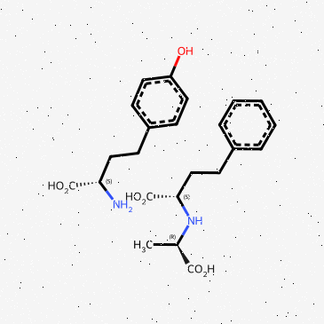 C[C@@H](N[C@@H](CCc1ccccc1)C(=O)O)C(=O)O.N[C@@H](CCc1ccc(O)cc1)C(=O)O